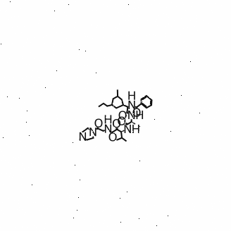 CCCC1CC(C)CC([C@H](NC(=O)c2ccccc2)C(=O)N[C@@H](C)C(=O)N[C@H](C(=O)C(=O)NCC(=O)N2CCN(C)CC2)C(C)C)C1